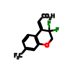 O=C(O)/C=C1/c2ccc(C(F)(F)F)cc2OCC1(F)F